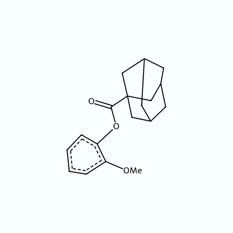 COc1ccccc1OC(=O)C12CC3CC(CC(C3)C1)C2